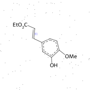 CCOC(=O)/C=C/c1ccc(OC)c(O)c1